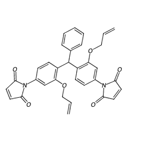 C=CCOc1cc(N2C(=O)C=CC2=O)ccc1C(c1ccccc1)c1ccc(N2C(=O)C=CC2=O)cc1OCC=C